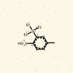 CC[Si](CC)(CC)c1cc(C)ccc1S(=O)(=O)O